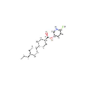 CCC[C@H]1CC[C@H]([C@H]2CC[C@H](C(=O)Oc3ccc(F)nc3)CC2)CC1